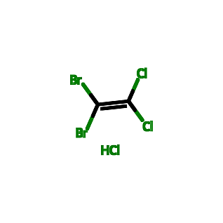 Cl.ClC(Cl)=C(Br)Br